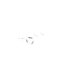 CN(C)CC(O)c1cccc(C(F)(F)F)c1